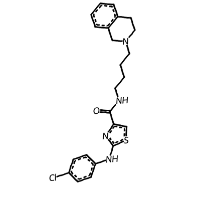 O=C(NCCCCN1CCc2ccccc2C1)c1csc(Nc2ccc(Cl)cc2)n1